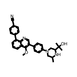 COc1c(-c2ccc(N3CC(C)NC(C(C)(C)O)C3)cc2)cnc2c(-c3ccc(C#N)cc3)cccc12